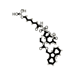 CCN(C(=O)OCC1c2ccccc2-c2ccccc21)[C@H]1CC(C)S(=O)(=O)c2sc(S(=O)(=O)NC(=O)CCCCCON(O)O)cc21